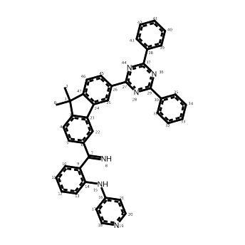 CC1(C)c2ccc(C(=N)c3ccccc3Nc3ccncc3)cc2-c2cc(-c3nc(-c4ccccc4)nc(-c4ccccc4)n3)ccc21